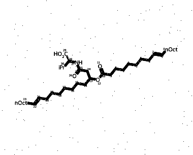 CCCCCCCCC=CCCCCCCCC(=O)OC(CCCCCCCC=CCCCCCCCC)CC(=O)N[C@H](C(=O)O)C(C)C